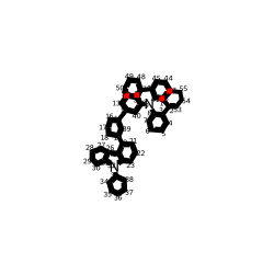 C1=CC(c2ccccc2N(c2cccc(-c3cccc(-c4cccc5c4c4ccccc4n5-c4ccccc4)c3)c2)c2ccccc2-c2ccccc2)=CCC1